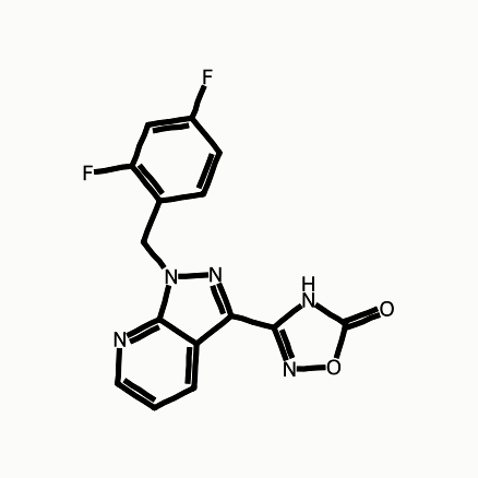 O=c1[nH]c(-c2nn(Cc3ccc(F)cc3F)c3ncccc23)no1